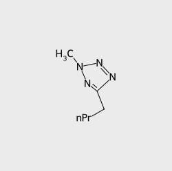 CCCCc1nnn(C)n1